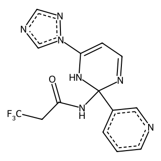 O=C(CC(F)(F)F)NC1(c2cccnc2)N=CC=C(n2cncn2)N1